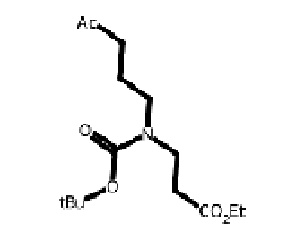 CCOC(=O)CCN(CCCC(C)=O)C(=O)OC(C)(C)C